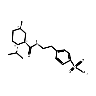 CC(C)[C@@H]1CC[C@@H](C)C[C@H]1C(=O)NCCc1ccc(S(N)(=O)=O)cc1